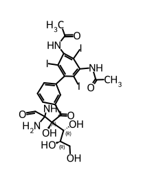 CC(=O)Nc1c(I)c(NC(C)=O)c(I)c(-c2cccc(C(=O)[C@](O)([C@H](O)[C@H](O)CO)C(N)(N)C=O)c2)c1I